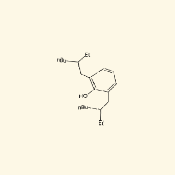 CCCCC(CC)Cc1cccc(CC(CC)CCCC)c1O